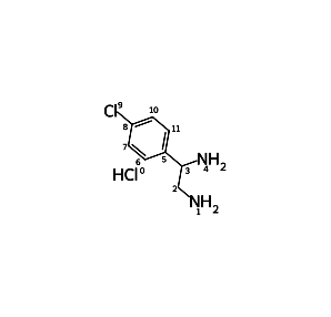 Cl.NCC(N)c1ccc(Cl)cc1